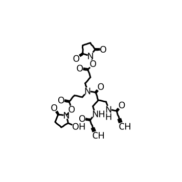 C#CC(=O)NCC(CNC(=O)C#C)C(=O)N(CCC(=O)ON1C(=O)CCC1=O)CCC(=O)ON1C(=O)CCC1O